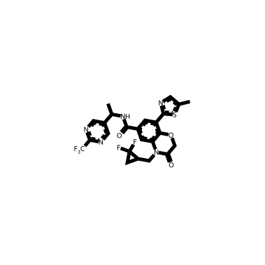 Cc1cnc(-c2cc(C(=O)NC(C)c3cnc(C(F)(F)F)nc3)cc3c2OCC(=O)N3CC2CC2(F)F)s1